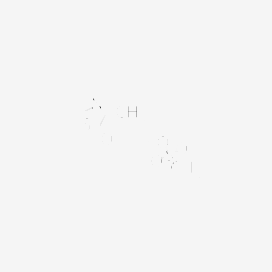 Cc1ncsc1OC1CCC(OS(C)(=O)=O)CC1